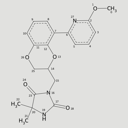 COc1cccc(-c2cccc3c2OC(CN2C(=O)NC(C)(C)C2=O)CO3)n1